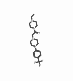 CCN1CCN(C(=O)CN2CCN(c3ccc(C(F)(F)F)cc3)CC2)CC1